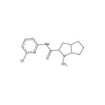 CN1C(C(=O)Nc2cccc(Cl)n2)CC2CCCC21